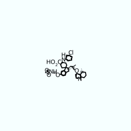 C[C@@H](COc1ccnc2c1[C@H](C)CCC2)C[C@H]1Cc2ccc(OCCNS(C)(=O)=O)cc2C12CCC(Nc1cccc(Cl)c1)(C(=O)O)CC2